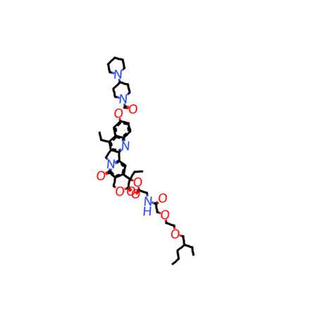 CCCC(CC)COCCOCC(=O)NCC(=O)OC1(CC)C(=O)OCc2c1cc1n(c2=O)Cc2c-1nc1ccc(OC(=O)N3CCC(N4CCCCC4)CC3)cc1c2CC